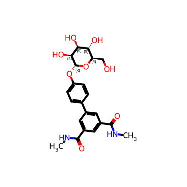 CNC(=O)c1cc(C(=O)NC)cc(-c2ccc(O[C@H]3O[C@H](CO)[C@@H](O)[C@H](O)[C@@H]3O)cc2)c1